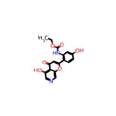 CCOC(=O)Nc1cc(O)ccc1-c1cc(=O)c2c(O)cncc2o1